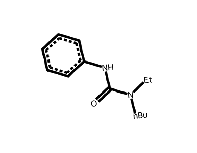 CCCCN(CC)C(=O)Nc1ccccc1